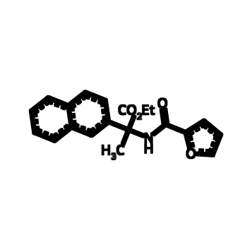 CCOC(=O)C(C)(NC(=O)c1ccco1)c1ccc2ccccc2c1